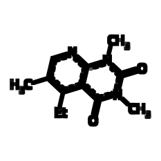 CCc1c(C)cnc2c1c(=O)n(C)c(=O)n2C